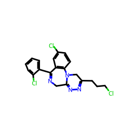 ClCCCC1=NN=C2CN=C(c3ccccc3Cl)c3cc(Cl)ccc3N2C1